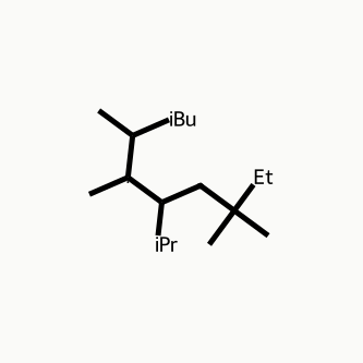 CCC(C)C(C)[C](C)C(CC(C)(C)CC)C(C)C